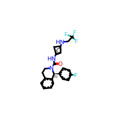 O=C(NC12CC(NCC(F)(F)F)(C1)C2)N1CCc2ccccc2[C@@H]1c1ccc(F)cc1